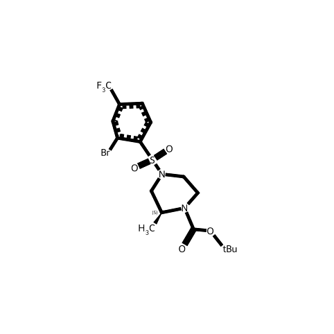 C[C@H]1CN(S(=O)(=O)c2ccc(C(F)(F)F)cc2Br)CCN1C(=O)OC(C)(C)C